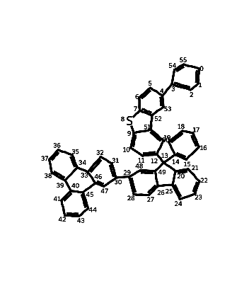 c1ccc(-c2ccc3sc4ccc(C5(c6ccccc6)c6ccccc6-c6ccc(-c7ccc8c9ccccc9c9ccccc9c8c7)cc65)cc4c3c2)cc1